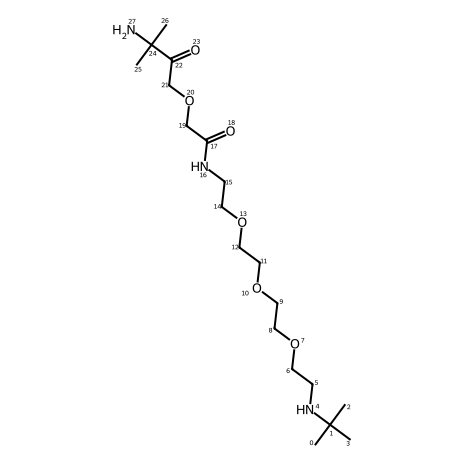 CC(C)(C)NCCOCCOCCOCCNC(=O)COCC(=O)C(C)(C)N